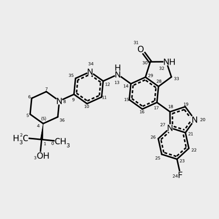 CC(C)(O)[C@H]1CCCN(c2ccc(Nc3ccc(-c4cnc5cc(F)ccn45)c4c3C(=O)NC4)nc2)C1